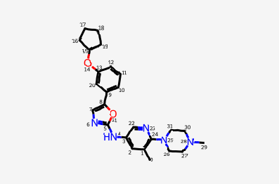 Cc1cc(Nc2ncc(-c3cccc(OC4CCCC4)c3)o2)cnc1N1CCN(C)CC1